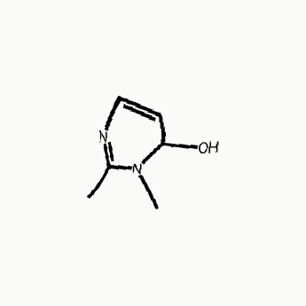 CC1=NC=CC(O)N1C